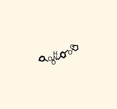 O=C(NCc1ccc(COC2CCCCO2)cc1)OCc1ccccc1